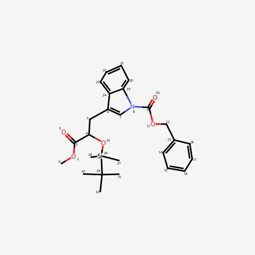 COC(=O)C(Cc1cn(C(=O)OCc2ccccc2)c2ccccc12)O[Si](C)(C)C(C)(C)C